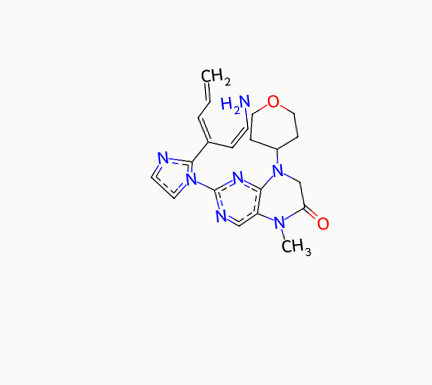 C=C/C=C(\C=C/N)c1nccn1-c1ncc2c(n1)N(C1CCOCC1)CC(=O)N2C